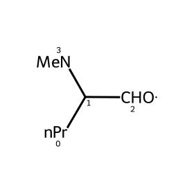 CCCC([C]=O)NC